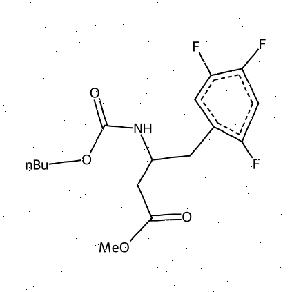 CCCCOC(=O)NC(CC(=O)OC)Cc1cc(F)c(F)cc1F